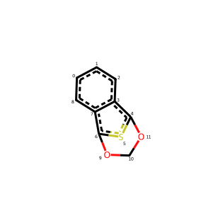 c1ccc2c3sc(c2c1)OCO3